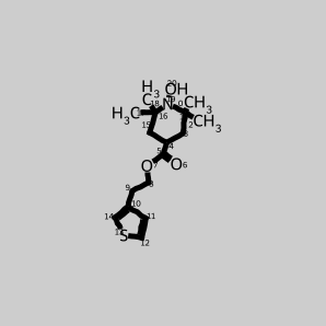 CC1(C)CC(C(=O)OCCc2ccsc2)CC(C)(C)N1O